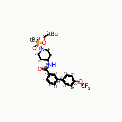 CC(C)(C)COP(=O)(N1CCC(NC(=O)c2cccc(-c3ccc(OC(F)(F)F)cc3)c2)CC1)C(C)(C)C